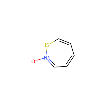 [O-][N+]1=CC=CC=C[SH]1